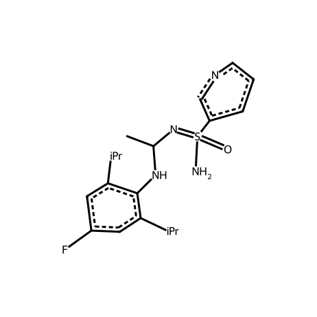 CC(N=S(N)(=O)c1cccnc1)Nc1c(C(C)C)cc(F)cc1C(C)C